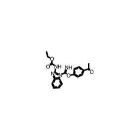 CCOC(=O)Nc1nc2ccccc2n1C(=N)Oc1ccc(C(C)=O)cc1